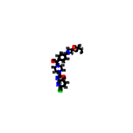 CCC(C)(C)OC1CN(c2ccc(C(=O)N3CCN(c4nc5nc(Cl)ccc5o4)CC3)cc2)C1